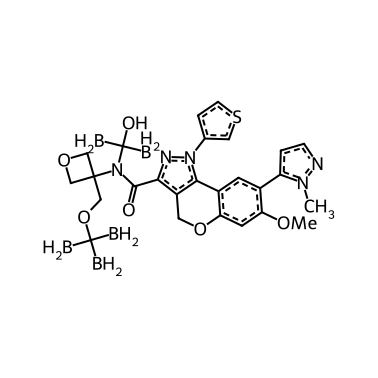 BC(B)(B)OCC1(N(C(=O)c2nn(-c3ccsc3)c3c2COc2cc(OC)c(-c4ccnn4C)cc2-3)C(B)(B)O)COC1